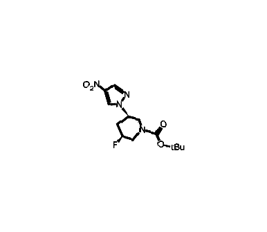 CC(C)(C)OC(=O)N1C[C@@H](F)C[C@@H](n2cc([N+](=O)[O-])cn2)C1